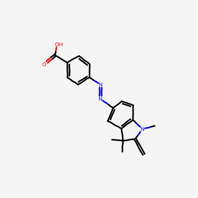 C=C1N(C)c2ccc(/N=N/c3ccc(C(=O)O)cc3)cc2C1(C)C